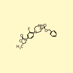 C[C@H]1CN(c2ccc(N3CCNN(C(=O)OCc4ccccc4)CC3)c(F)c2)C(=O)O1